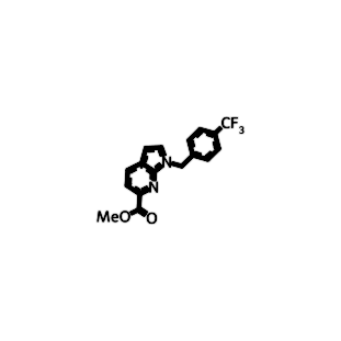 COC(=O)c1ccc2ccn(Cc3ccc(C(F)(F)F)cc3)c2n1